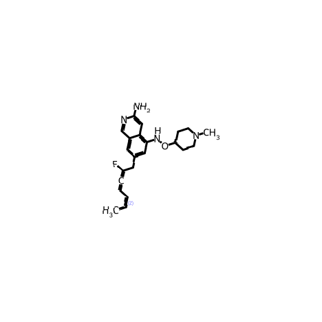 C/C=C\C=C=C(F)Cc1cc(NOC2CCN(C)CC2)c2cc(N)ncc2c1